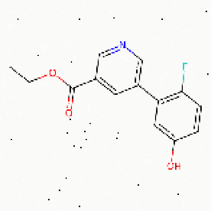 CCOC(=O)c1cncc(-c2cc(O)ccc2F)c1